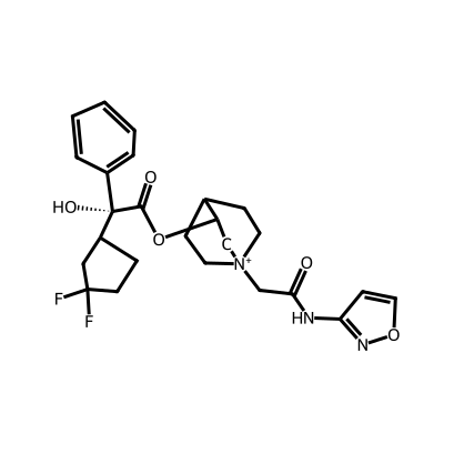 O=C(C[N+]12CCC(CC1)C(OC(=O)[C@](O)(c1ccccc1)C1CCC(F)(F)C1)C2)Nc1ccon1